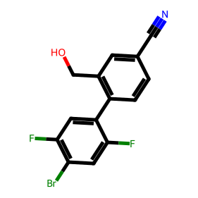 N#Cc1ccc(-c2cc(F)c(Br)cc2F)c(CO)c1